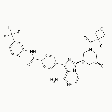 C[C@H]1C[C@@H](c2nc(-c3ccc(C(=O)Nc4cc(C(F)(F)F)ccn4)cc3)c3c(N)nccn23)CN(C(=O)C2(C)COC2)C1